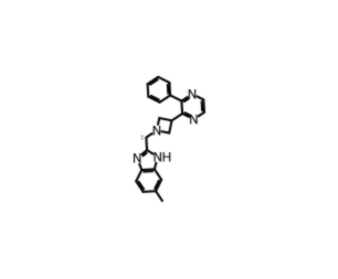 Cc1ccc2nc([C]N3CC(c4nccnc4-c4ccccc4)C3)[nH]c2c1